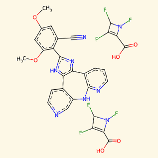 COc1cc(C#N)c(-c2nc3c([nH]2)-c2ccncc2Nc2ncccc2-3)c(OC)c1.O=C(O)C1=C(F)C(F)N1F.O=C(O)C1=C(F)C(F)N1F